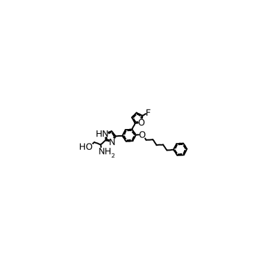 NC(CO)c1nc(-c2ccc(OCCCCCc3ccccc3)c(-c3ccc(F)o3)c2)c[nH]1